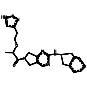 CC(OCCc1c[nH]nn1)C(=O)N1Cc2cnc(NC3Cc4ccccc4C3)nc2C1